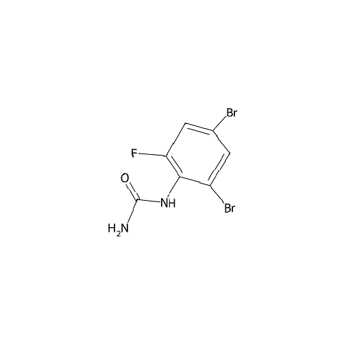 NC(=O)Nc1c(F)cc(Br)cc1Br